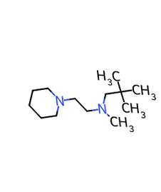 CN(CCN1CCCCC1)CC(C)(C)C